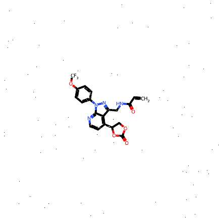 C=CC(=O)NCc1nn(-c2ccc(OC(F)(F)F)cc2)c2nccc(C3COC(=O)O3)c12